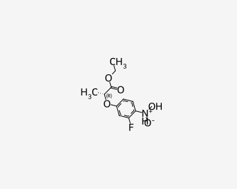 CCOC(=O)[C@@H](C)Oc1ccc([NH+]([O-])O)c(F)c1